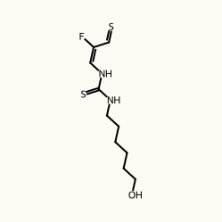 OCCCCCCNC(=S)N/C=C(/F)C=S